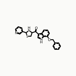 O=C(c1c[nH]c2c(OCc3ccccc3)cccc12)C1CSC(c2cccnc2)N1